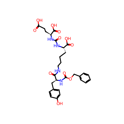 O=C(O)CC[C@H](NC(=O)N[C@@H](CCCCNC(=O)[C@H](Cc1ccc(O)cc1)NC(=O)OCc1ccccc1)C(=O)O)C(=O)O